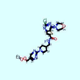 CCOOCc1cnc(N2CCC(CNC(=O)c3cc4nc(Cl)nc(N5CCOCC5)c4s3)CC2)nc1